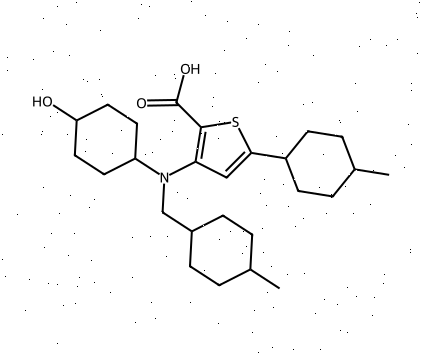 CC1CCC(CN(c2cc(C3CCC(C)CC3)sc2C(=O)O)C2CCC(O)CC2)CC1